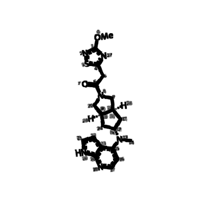 COc1nsc(CC(=O)N2C[C@H]3C[C@H](N(C)c4ccnc5[nH]ccc45)C[C@H]3C2)n1